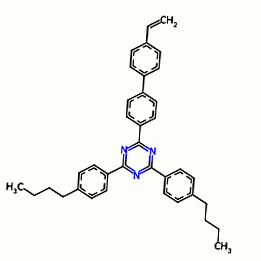 C=Cc1ccc(-c2ccc(-c3nc(-c4ccc(CCCC)cc4)nc(-c4ccc(CCCC)cc4)n3)cc2)cc1